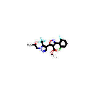 COC(=O)c1c(-c2c(F)cccc2Cl)noc1-c1cnn(CC(C)=O)c1C(F)(F)F